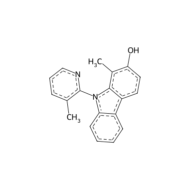 Cc1cccnc1-n1c2ccccc2c2ccc(O)c(C)c21